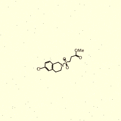 COC(=O)CCS(=O)(=O)N1CCc2cc(Cl)ccc2C1